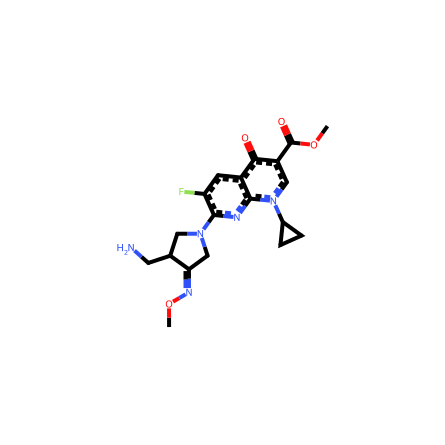 CON=C1CN(c2nc3c(cc2F)c(=O)c(C(=O)OC)cn3C2CC2)CC1CN